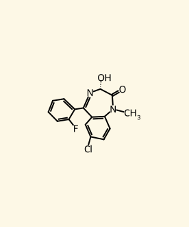 CN1C(=O)[C@@H](O)N=C(c2ccccc2F)c2cc(Cl)ccc21